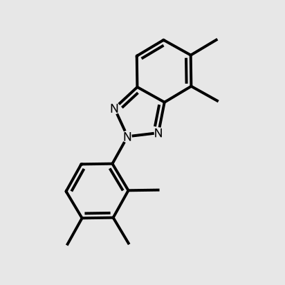 Cc1ccc(-n2nc3ccc(C)c(C)c3n2)c(C)c1C